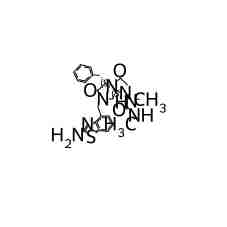 CNC(=O)N(C)N1CC(=O)N2[C@@H](Cc3ccccc3)C(=O)N(Cc3cccc4sc(N)nc34)C[C@@H]21